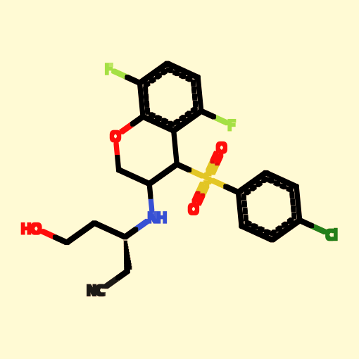 N#CC[C@H](CCO)NC1COc2c(F)ccc(F)c2C1S(=O)(=O)c1ccc(Cl)cc1